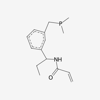 C=CC(=O)NC(CC)c1cccc(CP(C)C)c1